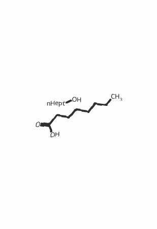 CCCCCCCC(=O)O.CCCCCCCO